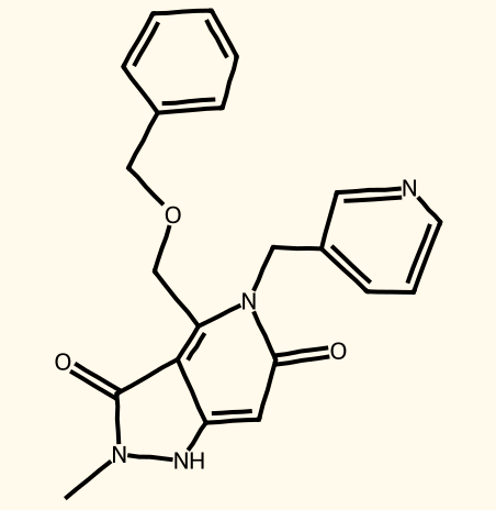 Cn1[nH]c2cc(=O)n(Cc3cccnc3)c(COCc3ccccc3)c2c1=O